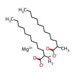 CCCCCCCCCCC(C)C(=O)[O-].CCCCCCCCCCC(C)C(=O)[O-].[Mg+2]